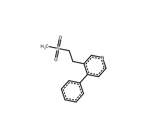 CS(=O)(=O)CCc1cnccc1-c1ccccc1